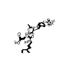 CCC(C)CCCNC(=O)[C@H](CCC(=O)O)NC(=O)[C@H](Cc1ccc(OP(=O)(O)O)cc1)NC(C)=O